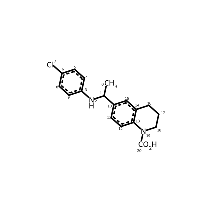 CC(Nc1ccc(Cl)cc1)c1ccc2c(c1)CCCN2C(=O)O